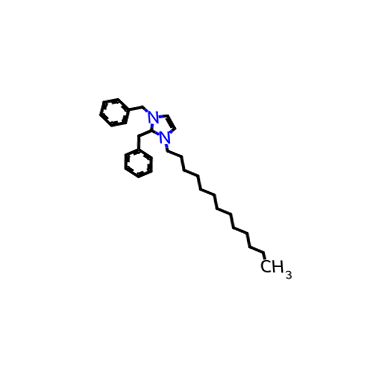 CCCCCCCCCCCCCN1C=CN(Cc2ccccc2)C1Cc1ccccc1